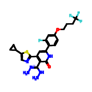 N/N=C(\NN)c1c(-c2ncc(C3CC3)s2)cc(-c2ccc(OCCCC(F)(F)F)cc2F)[nH]c1=O